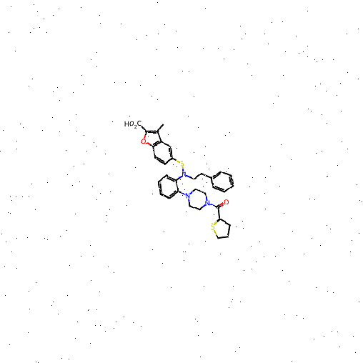 Cc1c(C(=O)O)oc2ccc(SN(CCc3ccccc3)c3ccccc3N3CCN(C(=O)C4CCCS4)CC3)cc12